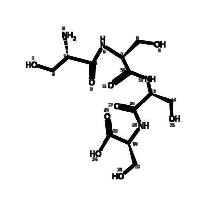 N[C@@H](CO)C(=O)N[C@@H](CO)C(=O)N[C@@H](CO)C(=O)N[C@@H](CO)C(=O)O